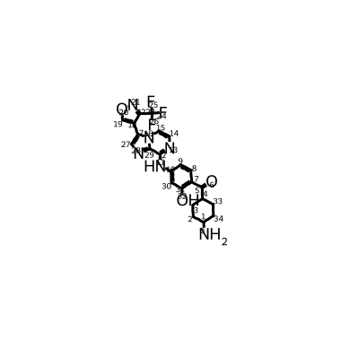 NC1CCC(C(=O)c2ccc(Nc3nccn4c(-c5conc5C(F)(F)F)cnc34)cc2O)CC1